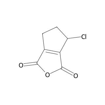 O=C1OC(=O)C2=C1CCC2Cl